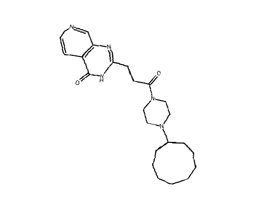 O=C(CCc1nc2cnccc2c(=O)[nH]1)N1CCN(C2CCCCCCCC2)CC1